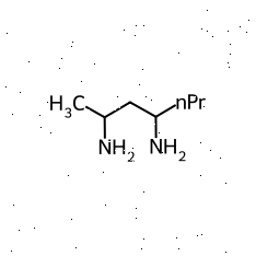 CCCC(N)CC(C)N